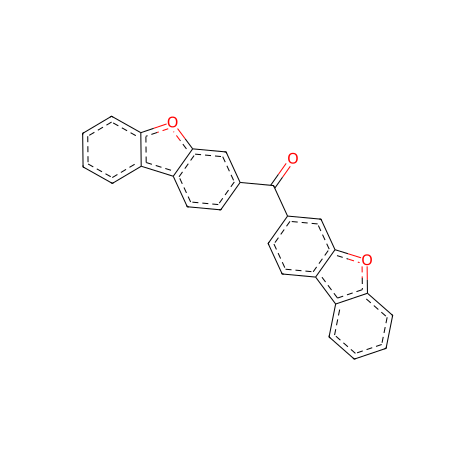 O=C(c1ccc2c(c1)oc1ccccc12)c1ccc2c(c1)oc1ccccc12